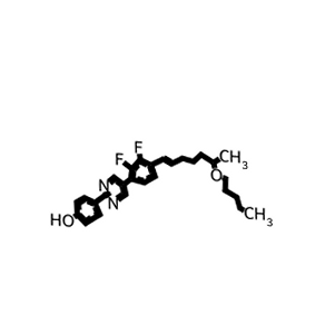 CCCCCOC(C)CCCC=Cc1ccc(-c2cnc(-c3ccc(O)cc3)nc2)c(F)c1F